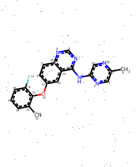 Cc1cnc(Nc2ncnc3ccc(Oc4c(F)cccc4C#N)cc23)cn1